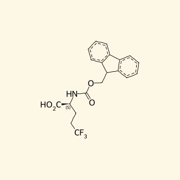 O=C(N[C@@H](CCC(F)(F)F)C(=O)O)OCC1c2ccccc2-c2ccccc21